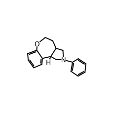 c1ccc(N2CC3CCOc4ccccc4[C@H]3C2)cc1